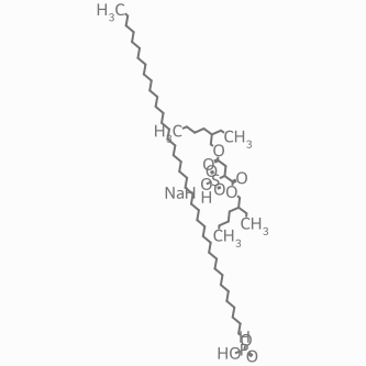 CCCCC(CC)COC(=O)CC(C(=O)OCC(CC)CCCC)S(=O)(=O)O.CCCCCCCCCCCCCCCCCCCCCCCCCCCCCCCCCCCCCCCCCO[PH](=O)O.[NaH]